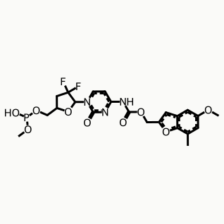 COc1cc(C)c2oc(COC(=O)Nc3ccn(C4OC(COP(O)OC)CC4(F)F)c(=O)n3)cc2c1